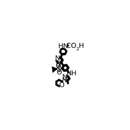 Cc1cc(Nc2ccc(-c3cc(C4=CCC(NC(=O)O)CC4)ncn3)c(S(=O)(=O)C3CC3)c2)nn1C1CCCCO1